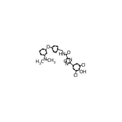 CN(C)c1cccc(Oc2ccc(CNC(=O)c3nc(-c4cc(Cl)c(O)c(Cl)c4)no3)cc2)c1